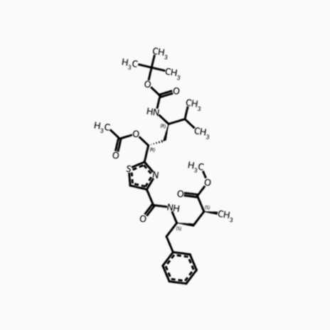 COC(=O)[C@@H](C)C[C@@H](Cc1ccccc1)NC(=O)c1csc([C@@H](C[C@@H](NC(=O)OC(C)(C)C)C(C)C)OC(C)=O)n1